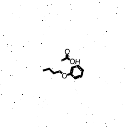 CC(=O)O.CCCCOc1ccccc1